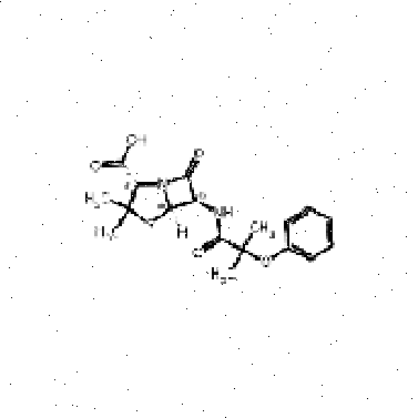 CC(C)(Oc1ccccc1)C(=O)N[C@@H]1C(=O)N2[C@@H]1SC(C)(C)[C@@H]2C(=O)O